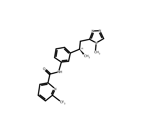 C[C@H](Cc1nncn1C)c1cccc(NC(=O)c2cccc(C(F)(F)F)n2)c1